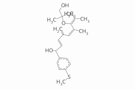 C=C(/C=C(/C)C(OC(C)(C)CO)=C(C)C)/C=C/C(O)c1ccc(SC)cc1